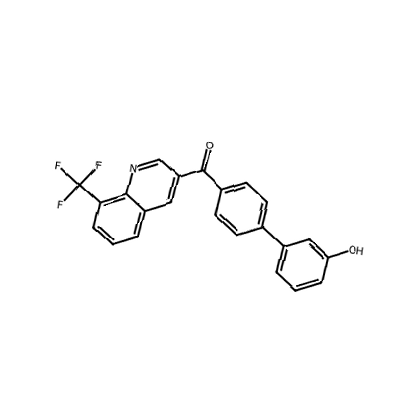 O=C(c1ccc(-c2cccc(O)c2)cc1)c1cnc2c(C(F)(F)F)cccc2c1